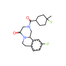 CC1(F)CCC(C(=O)N2CC(=O)N3CCc4ccc(F)cc4C3C2)CC1